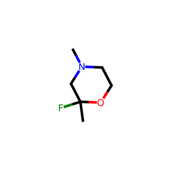 CN1CCOC(C)(F)C1